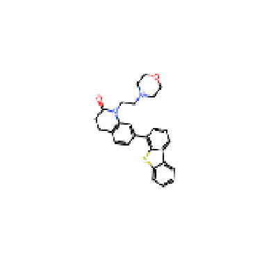 O=C1CCc2ccc(-c3cccc4c3sc3ccccc34)cc2N1CCN1CCOCC1